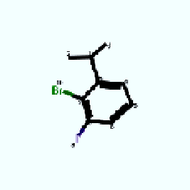 [CH2]C(C)c1cccc(I)c1Br